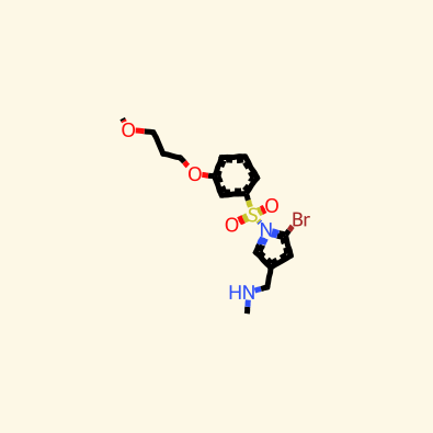 CNCc1cc(Br)n(S(=O)(=O)c2cccc(OCCCOC)c2)c1